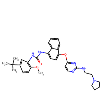 COc1ccc(C(C)(C)C)cc1NC(=O)Nc1ccc(Oc2ccnc(NCCN3CCCC3)n2)c2ccccc12